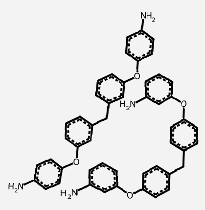 Nc1ccc(Oc2cccc(Cc3cccc(Oc4ccc(N)cc4)c3)c2)cc1.Nc1cccc(Oc2ccc(Cc3ccc(Oc4cccc(N)c4)cc3)cc2)c1